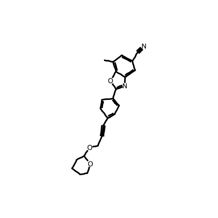 Cc1cc(C#N)cc2nc(-c3ccc(C#CCOC4CCCCO4)cc3)oc12